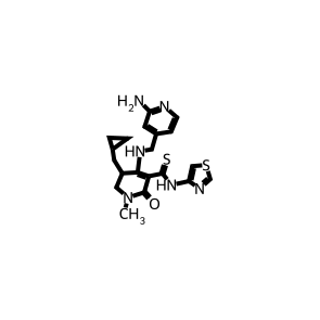 CN1CC(CC2CC2)C(NCc2ccnc(N)c2)=C(C(=S)Nc2cscn2)C1=O